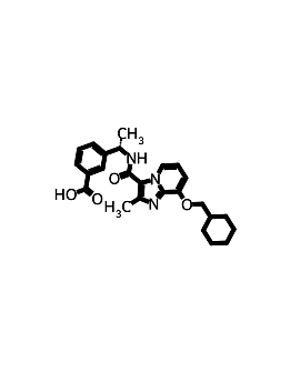 Cc1nc2c(OCC3CCCCC3)cccn2c1C(=O)N[C@@H](C)c1cccc(C(=O)O)c1